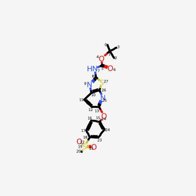 CC(C)(C)OC(=O)Nc1nc2ccc(Oc3ccc(S(C)(=O)=O)cc3)nc2s1